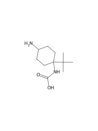 CC(C)(C)C1(NC(=O)O)CCC(N)CC1